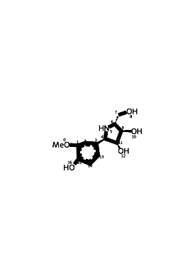 COc1cc([C@H]2N[C@H](CO)[C@@H](O)[C@@H]2O)ccc1O